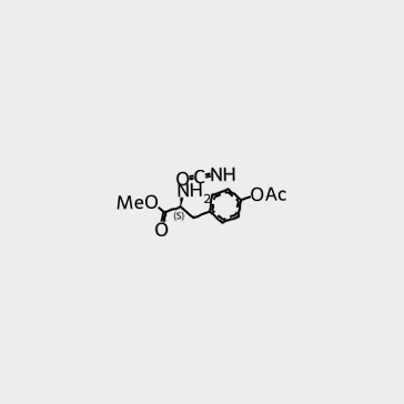 COC(=O)[C@@H](N)Cc1ccc(OC(C)=O)cc1.N=C=O